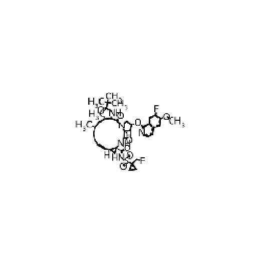 COc1cc2ccnc(O[C@@H]3C[C@H]4C(=O)N[C@]5(C(=O)NS(=O)(=O)C6(CF)CC6)C[C@H]5C=CCC[C@@H](C)C[C@@H](C)[C@H](NC(=O)C(C)(C)C)C(=O)N4C3)c2cc1F